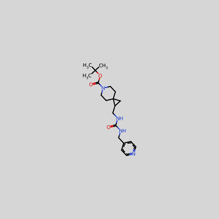 CC(C)(C)OC(=O)N1CCC2(CC1)CC2CNC(=O)NCc1ccncc1